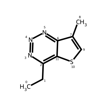 CCc1nnnc2c(C)csc12